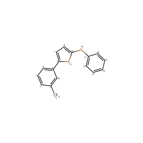 FC(F)(F)c1cccc(-c2ccc(Sc3ccccc3)s2)c1